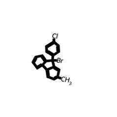 Cc1ccc2c(c1)C(Br)(c1ccc(Cl)cc1)c1ccccc1-2